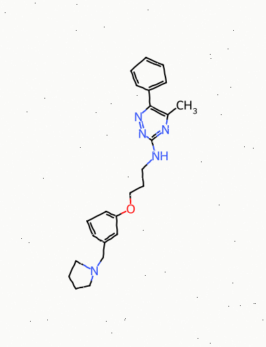 Cc1nc(NCCCOc2cccc(CN3CCCC3)c2)nnc1-c1ccccc1